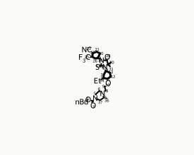 CCCCOC(=O)N1CCN(CCOc2ccc(N3C(=S)N(c4ccc(C#N)c(C(F)(F)F)c4)C(=O)C3(C)C)cc2CC)[C@@H](C)C1